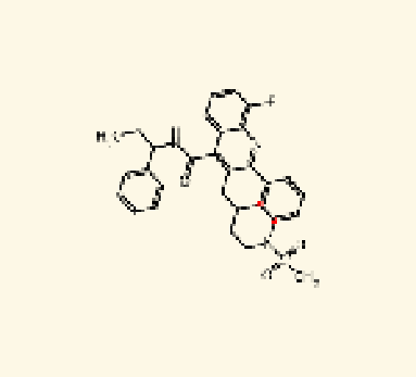 CCC(NC(=O)c1c(CC2CCN(S(C)(=O)=O)CC2)c(-c2ccccc2)nc2c(F)cccc12)c1ccccc1